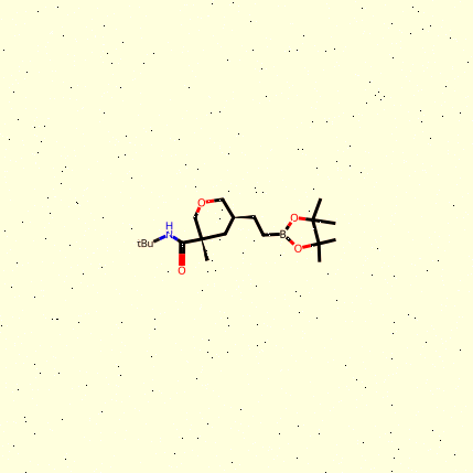 CC(C)(C)NC(=O)[C@]1(C)COC[C@@H](CCB2OC(C)(C)C(C)(C)O2)C1